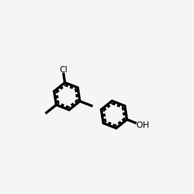 Cc1cc(C)cc(Cl)c1.Oc1ccccc1